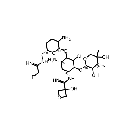 C[C@@H]1C(O)[C@@H](OC2C(O)C(O[C@H]3O[C@H](CNC(=N)CF)CCC3N)[C@@H](N)C[C@H]2NC(=N)C2(O)COC2)OCC1(C)O